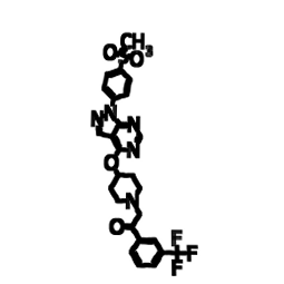 CS(=O)(=O)c1ccc(-n2ncc3c(OC4CCN(CC(=O)c5cccc(C(F)(F)F)c5)CC4)ncnc32)cc1